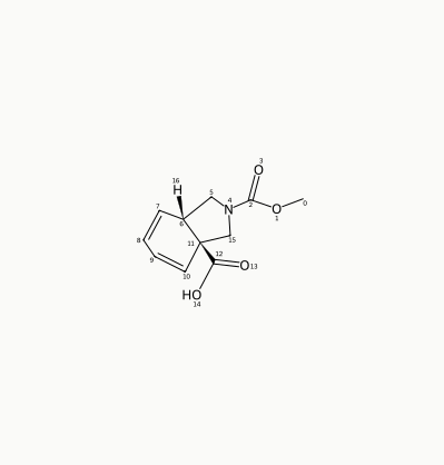 COC(=O)N1C[C@H]2C=CC=C[C@@]2(C(=O)O)C1